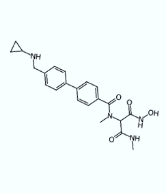 CNC(=O)C(C(=O)NO)N(C)C(=O)c1ccc(-c2ccc(CNC3CC3)cc2)cc1